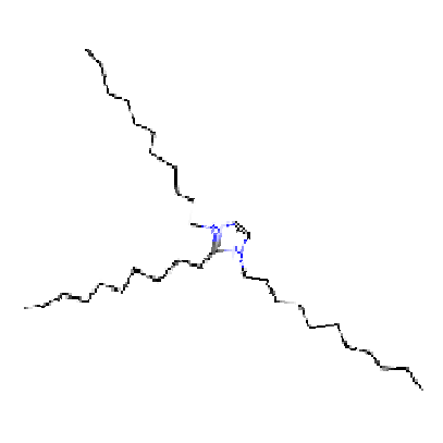 CCCCCCCCCCCn1cc[n+](CCCCCCCCCCC)c1CCCCCCCCCC